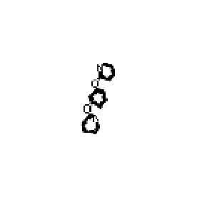 c1ccc(Oc2cccc(Oc3ccccn3)c2)nc1